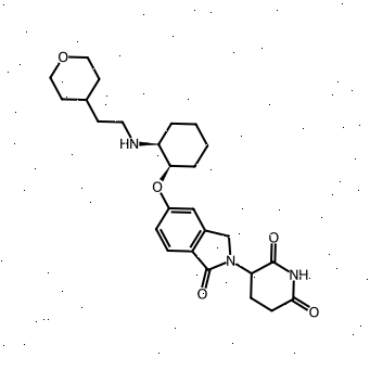 O=C1CCC(N2Cc3cc(O[C@@H]4CCCC[C@@H]4NCCC4CCOCC4)ccc3C2=O)C(=O)N1